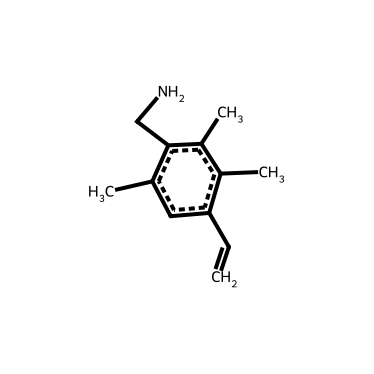 C=Cc1cc(C)c(CN)c(C)c1C